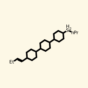 CCC=CC1CCC(C2CCC(C3CCC([SiH2]CCC)CC3)CC2)CC1